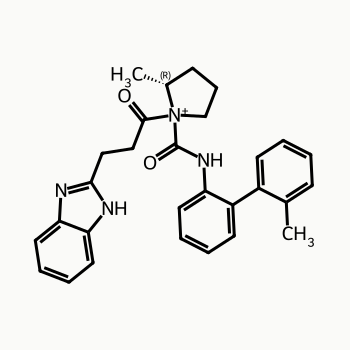 Cc1ccccc1-c1ccccc1NC(=O)[N+]1(C(=O)CCc2nc3ccccc3[nH]2)CCC[C@H]1C